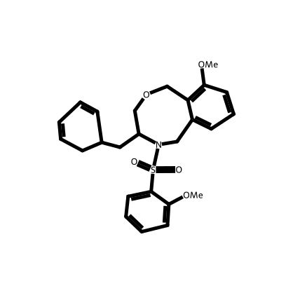 COc1ccccc1S(=O)(=O)N1Cc2cccc(OC)c2COCC1CC1C=CC=CC1